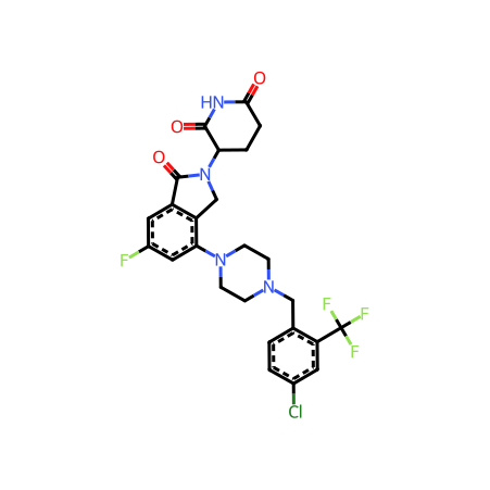 O=C1CCC(N2Cc3c(cc(F)cc3N3CCN(Cc4ccc(Cl)cc4C(F)(F)F)CC3)C2=O)C(=O)N1